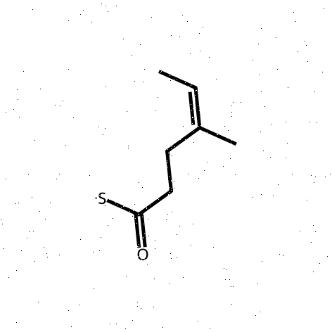 CC=C(C)CCC(=O)[S]